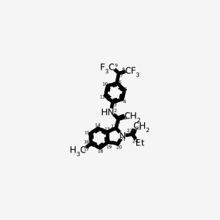 C=C(Nc1ccc(C(C(F)(F)F)C(F)(F)F)cc1)C1c2ccc(C)cc2CN1C(=C)CC